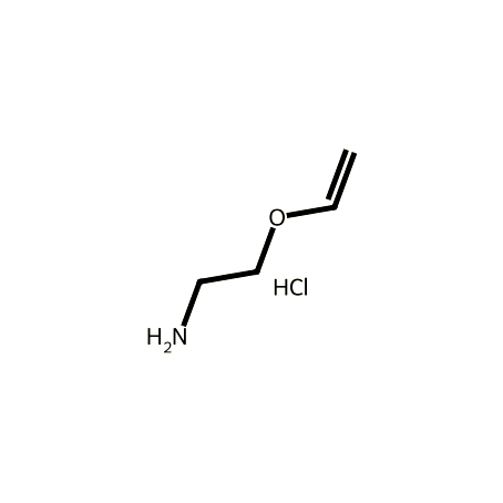 C=COCCN.Cl